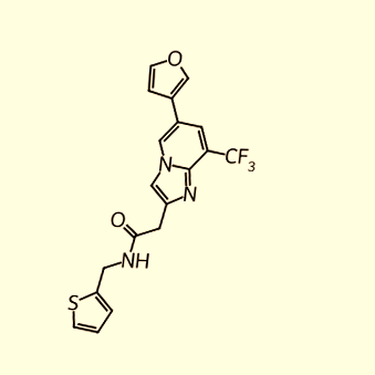 O=C(Cc1cn2cc(-c3ccoc3)cc(C(F)(F)F)c2n1)NCc1cccs1